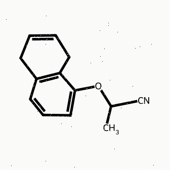 CC(C#N)Oc1cccc2c1CC=CC2